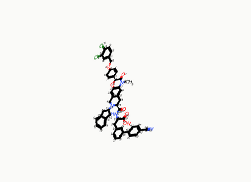 CN1C(=O)[C@H](c2ccc(OCc3ccc(Cl)c(Cl)c3)cc2)Oc2cc3c(cc21)C[C@@H](C(=O)NC(Cc1cccc(-c2ccc(C#N)cc2)c1)C(=O)O)N(C1Cc2ccccc2C1)C3